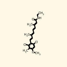 CCNC(=O)/C=C(C)/C=C/C=C(C)/C=C/c1c(Cl)cc(OC)c(C)c1Cl